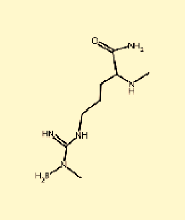 BN(C)C(=N)NCCCC(NC)C(N)=O